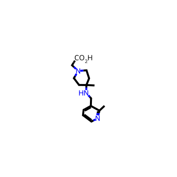 Cc1ncccc1CNC1(C)CCN(CC(=O)O)CC1